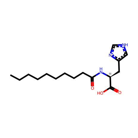 CCCCCCCCCC(=O)N[C@@H](Cc1c[nH]cn1)C(=O)O